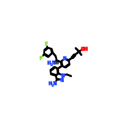 CCn1nc(N)c2cccc(-c3ccc(C#CC(C)(C)O)nc3[C@@H](N)Cc3cc(F)cc(F)c3)c21